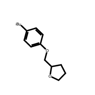 CCC(C)c1ccc(OCC2CCCO2)cc1